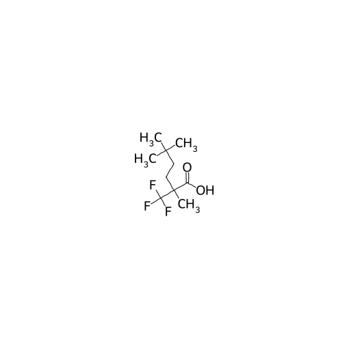 CC(C)(C)CCC(C)(C(=O)O)C(F)(F)F